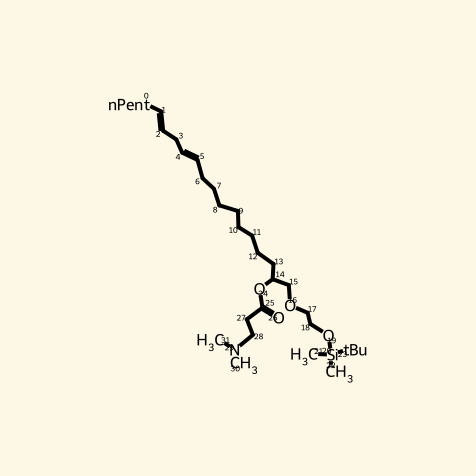 CCCCCC=CCC=CCCCCCCCCC(COCCO[Si](C)(C)C(C)(C)C)OC(=O)CCN(C)C